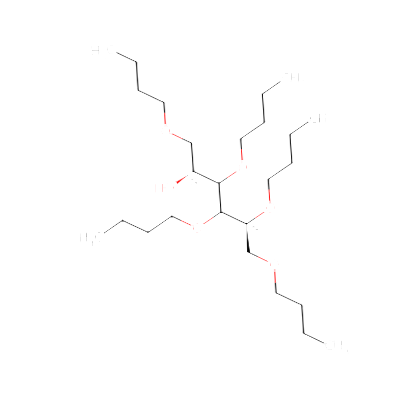 CCCCOC[C@H](OCCCC)C(OCCCC)C(OCCCC)[C@@H](O)COCCCC